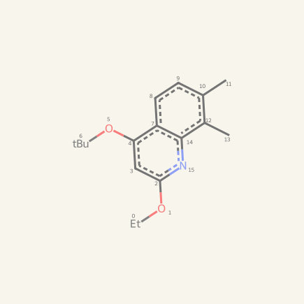 CCOc1cc(OC(C)(C)C)c2ccc(C)c(C)c2n1